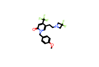 COc1ccc(Cn2cc(CCN3CC(F)(F)C3)c(C(F)(F)F)cc2=O)cc1